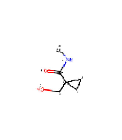 CCNC(=O)C1(CO)CC1